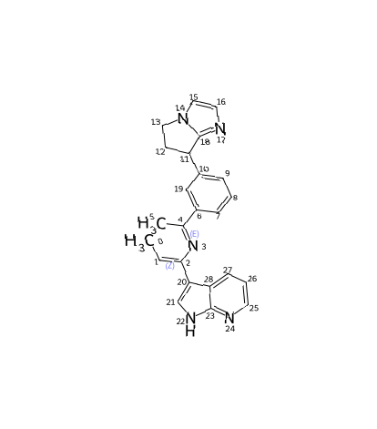 C/C=C(\N=C(/C)c1cccc(C2CCn3ccnc32)c1)c1c[nH]c2ncccc12